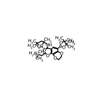 CC(C)(C)CC(C)(C)NC(=O)c1cc(B2OC(C)(C)C(C)(C)O2)c2c(c1OCC[Si](C)(C)C)OCCO2